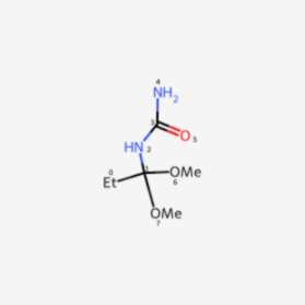 [CH2]CC(NC(N)=O)(OC)OC